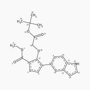 COC(=O)c1scc(-c2ccc3[nH]ccc3c2)c1OCC(=O)OC(C)(C)C